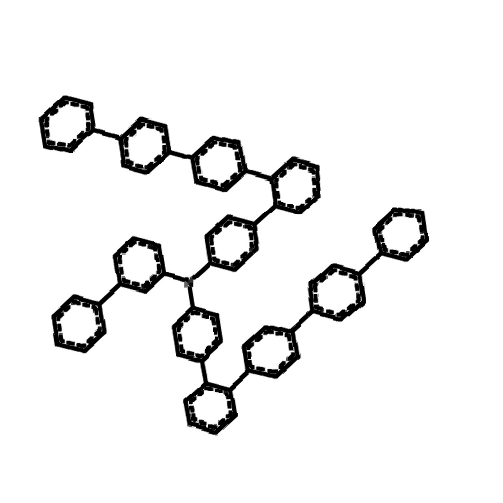 c1ccc(-c2ccc(-c3ccc(-c4ccccc4-c4ccc(N(c5ccc(-c6ccccc6-c6ccc(-c7ccc(-c8ccccc8)cc7)cc6)cc5)c5cccc(-c6ccccc6)c5)cc4)cc3)cc2)cc1